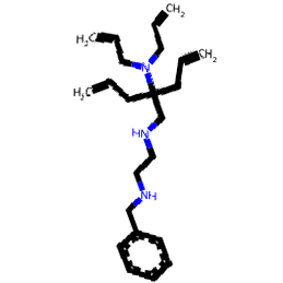 C=CCN(CC=C)C(CC=C)(CC=C)CNCCNCc1ccccc1